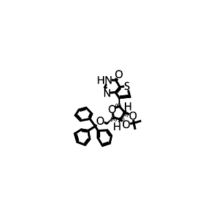 CC1(C)O[C@@H]2[C@H](O1)[C@@H](COC(c1ccccc1)(c1ccccc1)c1ccccc1)O[C@H]2c1csc2c(=O)[nH]cnc12